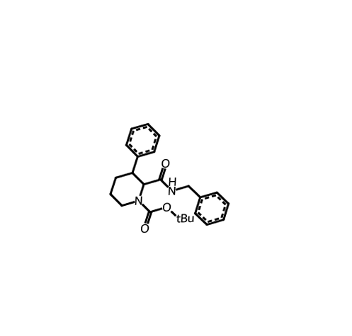 CC(C)(C)OC(=O)N1CCCC(c2ccccc2)C1C(=O)NCc1ccccc1